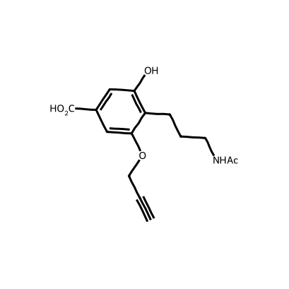 C#CCOc1cc(C(=O)O)cc(O)c1CCCNC(C)=O